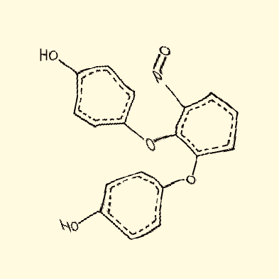 O=Pc1cccc(Oc2ccc(O)cc2)c1Oc1ccc(O)cc1